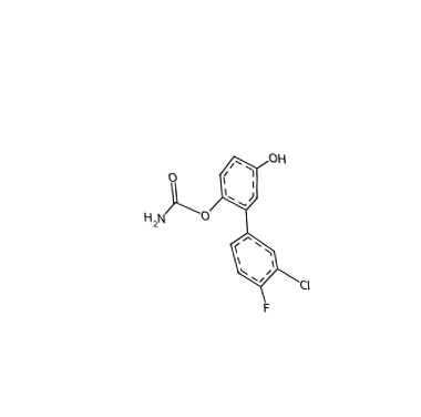 NC(=O)Oc1ccc(O)cc1-c1ccc(F)c(Cl)c1